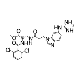 COC(=O)[C@H](CNC(=O)CCn1cnc2ccc(NC(=N)N)cc21)NC(=O)c1c(Cl)cccc1Cl